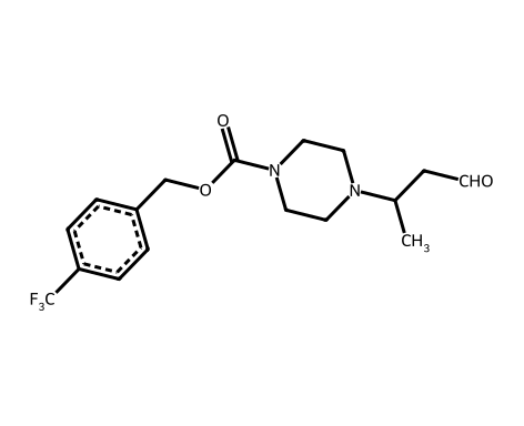 CC(CC=O)N1CCN(C(=O)OCc2ccc(C(F)(F)F)cc2)CC1